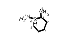 NC1CCCC[SH]1N